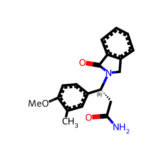 COc1ccc([C@@H](CC(N)=O)N2Cc3ccccc3C2=O)cc1C